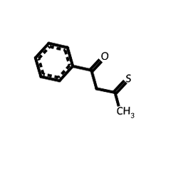 CC(=S)CC(=O)c1ccccc1